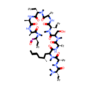 C/C=C/C[C@@H](C)CC(C(=O)N[C@@H](CC)C(=O)N(C)C(CO)C(=O)N(C)[C@@H](CC(C)C)C(=O)N[C@H](C(=O)N(C)[C@@H](CC(C)C)C(=O)N[C@H](C)C(=O)N[C@H](C)C(=O)N(C)[C@@H](CC(C)C)I=O)C(C)C)N(C)C(=O)[C@H](C(C)C)N(C)C(=O)[C@H](CC(C)C)N(C)C